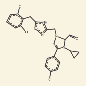 O=CC1N(Cc2nnc(Cc3c(Cl)cccc3Cl)[nH]2)N=C(c2ccc(Cl)cc2)N1C1CC1